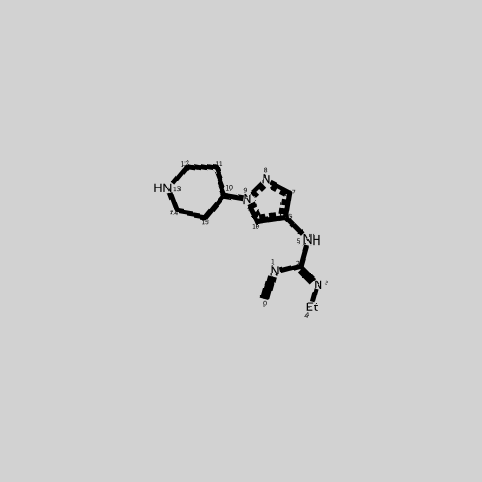 C=N/C(=N\CC)Nc1cnn(C2CCNCC2)c1